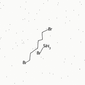 BrCCCCCCBr.[SiH3]Br